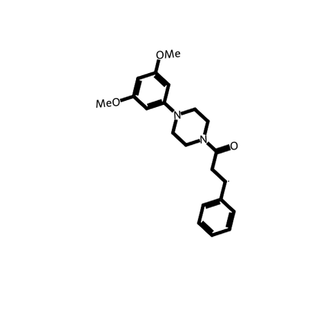 COc1cc(OC)cc(N2CCN(C(=O)C[CH]c3ccccc3)CC2)c1